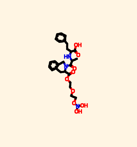 CC(NC(CCc1ccccc1)C(=O)O)C(=O)N1Cc2ccccc2CC1C(=O)OCCOCCON(O)O